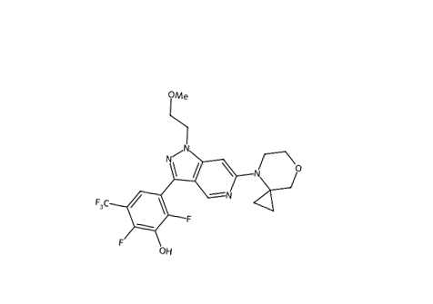 COCCn1nc(-c2cc(C(F)(F)F)c(F)c(O)c2F)c2cnc(N3CCOCC34CC4)cc21